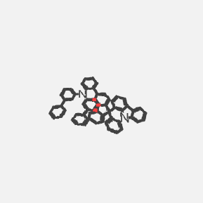 c1ccc(-c2cccc(N(c3cccc(-c4ccccc4)c3)c3ccccc3-c3ccc4c(c3)-c3ccccc3C43c4ccccc4-n4c5ccccc5c5cccc3c54)c2)cc1